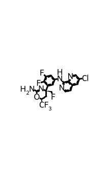 NC1=N[C@](CF)(c2cc(Nc3nccc4cc(Cl)cnc34)cc(F)c2F)C[C@@H](C(F)(F)F)O1